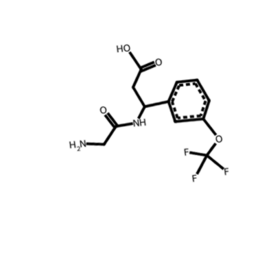 NCC(=O)NC(CC(=O)O)c1cccc(OC(F)(F)F)c1